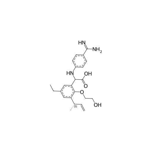 C=C[C@H](C)c1cc(CC)cc(C(Nc2ccc(C(=N)N)cc2)C(=O)O)c1OCCO